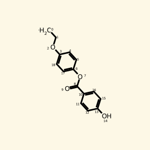 [CH2]COc1ccc(OC(=O)c2ccc(O)cc2)cc1